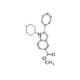 COC(=O)c1ccc2c(c1)cc(-c1ccccc1)n2C1CCCCC1